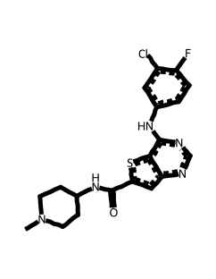 CN1CCC(NC(=O)c2cc3ncnc(Nc4ccc(F)c(Cl)c4)c3s2)CC1